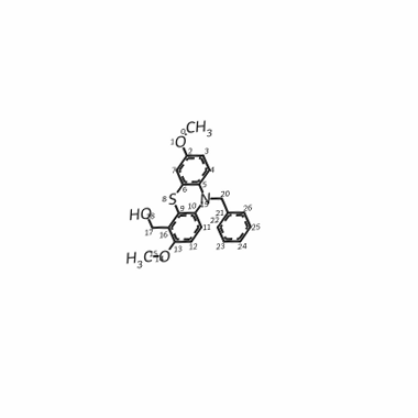 COc1ccc2c(c1)Sc1c(ccc(OC)c1CO)N2Cc1ccccc1